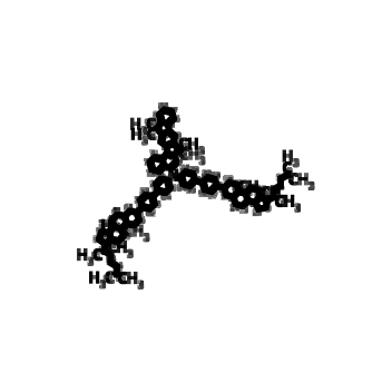 CC(C)CCCC(C)C1CCC2C3CCC4CC(c5ccc(-c6ccc(N(c7ccc(-c8ccc(C9CCC%10(C)C(CCC%11C%10CCC%10(C)C(C(C)CCCC(C)C)CC[C@@H]%11%10)C9)cc8)cc7)c7cc8c(c9ccccc79)-c7cc9c(cc7C8(C)C)-c7ccccc7C9(C)C)cc6)cc5)CCC4(C)C3CCC12C